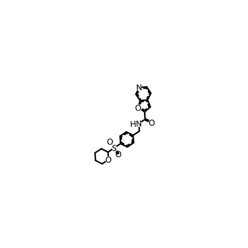 O=C(NCc1ccc(S(=O)(=O)C2CCCCO2)cc1)c1cc2ccncc2o1